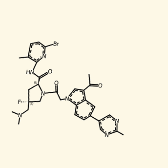 CC(=O)c1cn(CC(=O)N2C[C@@](F)(CN(C)C)C[C@H]2C(=O)Nc2nc(Br)ccc2C)c2ccc(-c3cnc(C)nc3)cc12